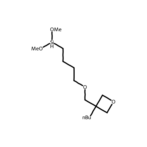 CCCCC1(COCCCC[SiH](OC)OC)COC1